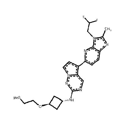 COCCO[C@H]1C[C@H](Nc2ncc3c(-c4ccc5nc(C)n(CC(F)F)c5n4)ccn3n2)C1